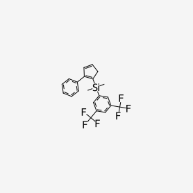 C[Si](C)(C1=C(c2ccccc2)C=CC1)c1cc(C(F)(F)F)cc(C(F)(F)F)c1